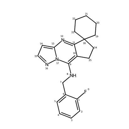 Fc1ccccc1CNc1c2c(nc3ccnn13)C1(CCCCC1)CC2